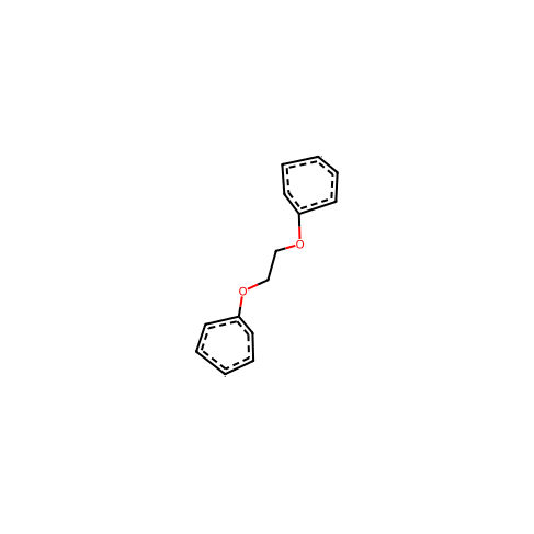 [c]1ccc(OCCOc2cc[c]cc2)cc1